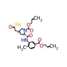 C=CCOC(=O)c1ccc(C)c(NC(=O)[C@@H]2C[C@@H](CC(=O)S)CN2C(=O)OCC=C)c1